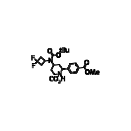 COC(=O)c1ccc(C2CC(N(C(=O)OC(C)(C)C)C3CC(F)(F)C3)CCN2C(=O)O)cc1